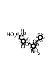 Nc1cc(COc2c(Cl)cc(CC(N)C(=O)O)cc2Cl)c2oc(-c3ccccc3)nc2c1